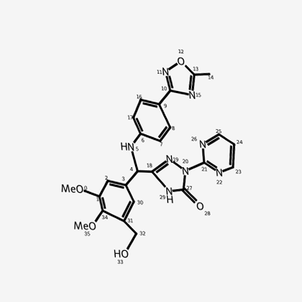 COc1cc(C(Nc2ccc(-c3noc(C)n3)cc2)c2nn(-c3ncccn3)c(=O)[nH]2)cc(CO)c1OC